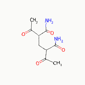 CC(=O)C(CC(C(C)=O)C(N)=O)C(N)=O